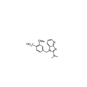 COc1cc(Cn2c(N(C)C)nc3ncccc32)ccc1C(=O)O